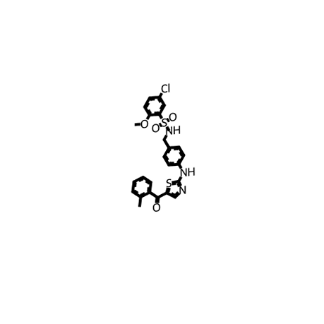 COc1ccc(Cl)cc1S(=O)(=O)NCc1ccc(Nc2ncc(C(=O)c3ccccc3C)s2)cc1